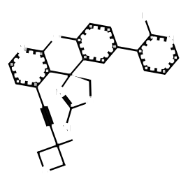 CC1(C#Cc2ccnc3c2[C@]2(COC(N)=N2)c2cc(-c4cccnc4F)ccc2O3)COC1